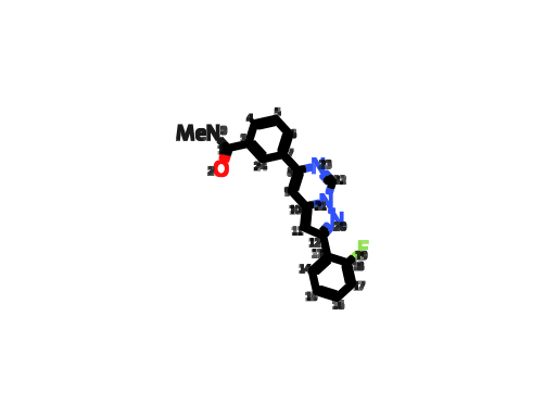 CNC(=O)c1cccc(-c2cc3cc(-c4ccccc4F)nn3cn2)c1